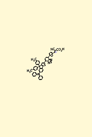 Cc1ccc(C2(c3ccc(C)cc3)c3cc(N(c4ccccc4)c4ccccc4)ccc3-c3sc(-c4ccc(-c5ccc(/C=C(\C#N)C(=O)O)o5)c5nsnc45)cc32)cc1